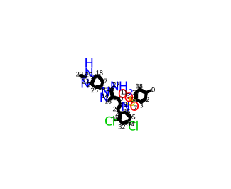 Cc1ccc(S(=O)(=O)n2c(C(=O)c3cnn(-c4ccc5[nH]c(C)nc5c4)c3N)cc3c(Cl)cc(Cl)cc32)cc1